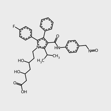 CC(C)c1c(C(=O)Nc2ccc(CN=O)cc2)c(-c2ccccc2)c(-c2ccc(F)cc2)n1CCC(O)CC(O)CC(=O)O